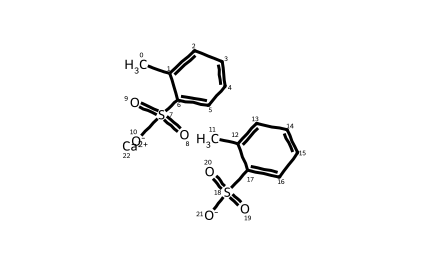 Cc1ccccc1S(=O)(=O)[O-].Cc1ccccc1S(=O)(=O)[O-].[Ca+2]